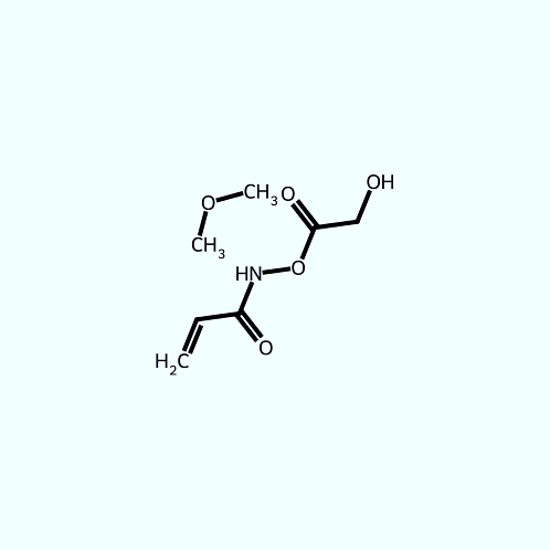 C=CC(=O)NOC(=O)CO.COC